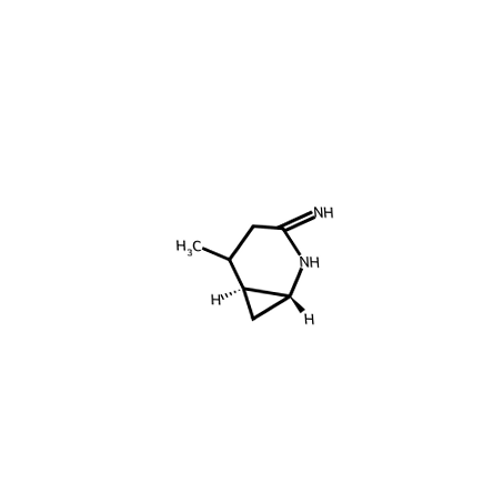 CC1CC(=N)N[C@@H]2C[C@@H]12